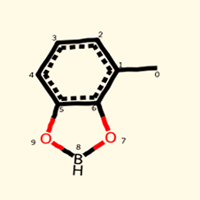 Cc1cccc2c1OBO2